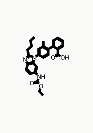 CCCCc1nc2ccc(NC(=O)OCC)cc2n1-c1ccc(-c2ccccc2C(=O)O)c(C)c1